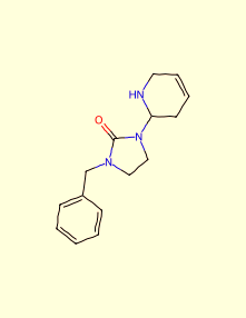 O=C1N(Cc2ccccc2)CCN1C1CC=CCN1